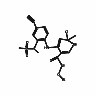 C#Cc1ccc(NC2=CC(C)(Cl)NC=C2C(=O)NOCC)c(N(C)S(C)(=O)=O)c1